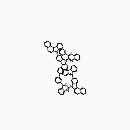 c1ccc(-c2nc3ccccc3nc2-n2c3cc(-n4c5ccccc5c5c6ccccc6ccc54)ccc3c3c4ccc(-c5cccc(-c6nc(-n7c8cc(-n9c%10ccccc%10c%10ccccc%109)ccc8c8c9ccccc9ccc87)nc7ccccc67)c5)cc4ccc32)cc1